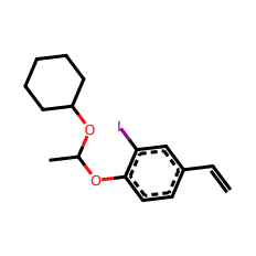 C=Cc1ccc(OC(C)OC2CCCCC2)c(I)c1